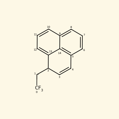 FC(F)(F)[CH]C1C=Cc2cccc3cccc1c23